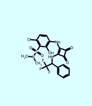 CN(C)S(=O)(=O)c1c(Cl)ccc(Nc2c(NC(c3ccccc3)C(F)(F)F)c(=O)c2=O)c1O